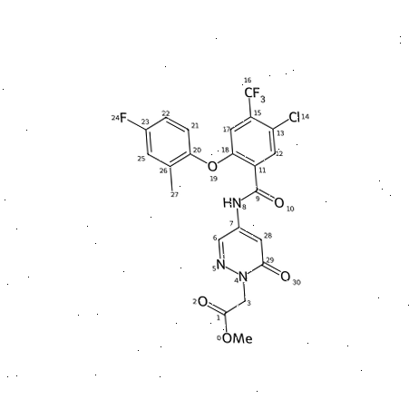 COC(=O)Cn1ncc(NC(=O)c2cc(Cl)c(C(F)(F)F)cc2Oc2ccc(F)cc2C)cc1=O